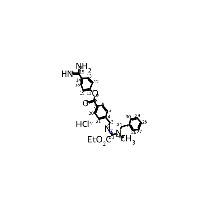 CCOC(=O)/C(=N/Cc1ccc(C(=O)Oc2ccc(C(=N)N)cc2)cc1)N(C)Cc1ccccc1.Cl